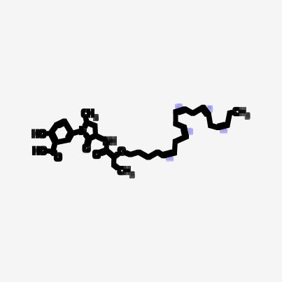 CC/C=C\C/C=C\C/C=C\C/C=C\C/C=C\CCCCOC(CC)C(=O)NC1CC(C)N(c2ccc(O)c(C(=O)O)c2)C1=O